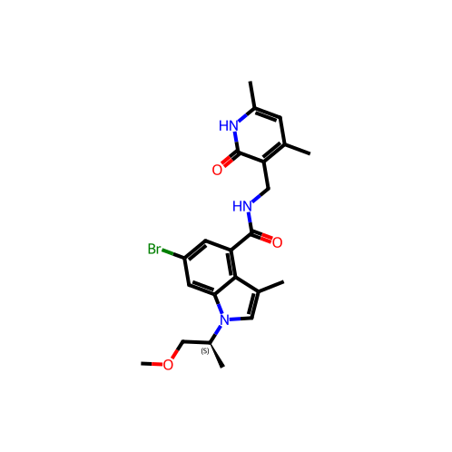 COC[C@H](C)n1cc(C)c2c(C(=O)NCc3c(C)cc(C)[nH]c3=O)cc(Br)cc21